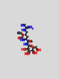 CC(C)(C)OC(=O)NC(CCCNC(=N)N)C(=O)NC1OC(CO)C(O)C(O)C1O